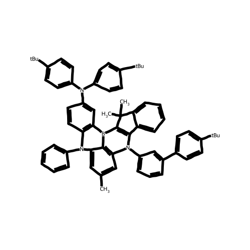 Cc1cc2c3c(c1)N(c1ccccc1)c1ccc(N(c4ccc(C(C)(C)C)cc4)c4ccc(C(C)(C)C)cc4)cc1B3C1=C(c3ccccc3C1(C)C)N2c1cccc(-c2ccc(C(C)(C)C)cc2)c1